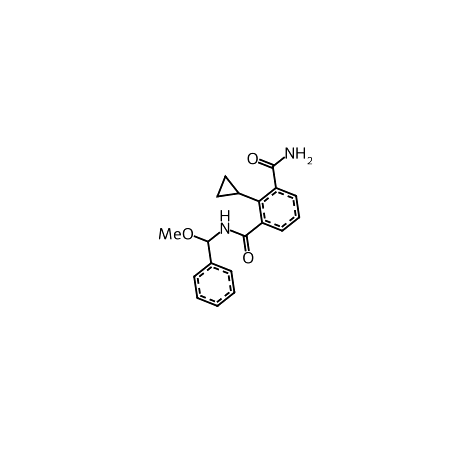 COC(NC(=O)c1cccc(C(N)=O)c1C1CC1)c1ccccc1